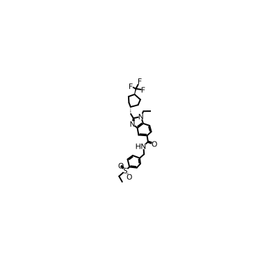 CCn1c(C[C@H]2CC[C@H](C(F)(F)F)CC2)nc2cc(C(=O)NCc3ccc(S(=O)(=O)CC)cc3)ccc21